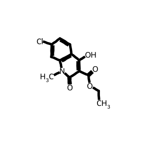 CCOC(=O)c1c(O)c2ccc(Cl)cc2n(C)c1=O